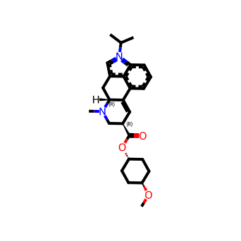 CO[C@H]1CC[C@H](OC(=O)[C@@H]2C=C3c4cccc5c4c(cn5C(C)C)C[C@H]3N(C)C2)CC1